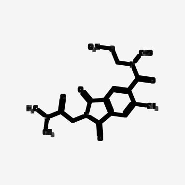 Cc1cc2c(cc1C(=O)N(C=O)CO[N+](=O)[O-])C(=O)N(CC(=O)N(C)C)C2=O